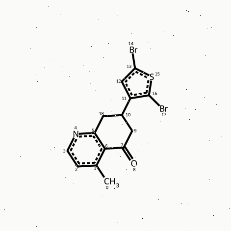 Cc1ccnc2c1C(=O)CC(c1cc(Br)sc1Br)C2